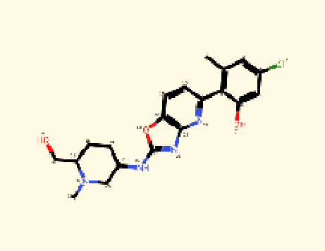 Cc1cc(Cl)cc(O)c1-c1ccc2oc(NC3CCC(CO)N(C)C3)nc2n1